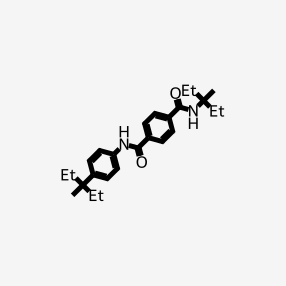 CCC(C)(CC)NC(=O)c1ccc(C(=O)Nc2ccc(C(C)(CC)CC)cc2)cc1